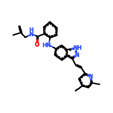 C=C(C)CNC(=O)c1ccccc1Nc1ccc2c(C=Cc3cc(C)cc(C)n3)n[nH]c2c1